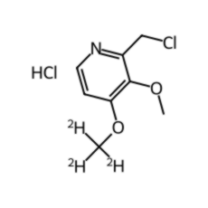 Cl.[2H]C([2H])([2H])Oc1ccnc(CCl)c1OC